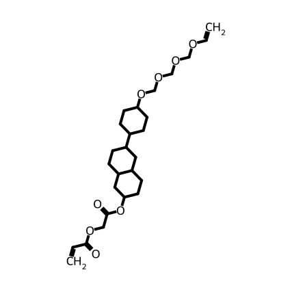 C=COCOCOCOC1CCC(C2CCC3CC(OC(=O)COC(=O)C=C)CCC3C2)CC1